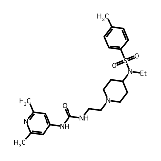 CCN(C1CCN(CCNC(=O)Nc2cc(C)nc(C)c2)CC1)S(=O)(=O)c1ccc(C)cc1